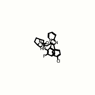 O=C(Nc1c(F)cccc1F)N1C2CCC1CN(Cc1c(-c3ccc(Cl)cc3)nc3ccccn13)C2